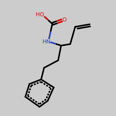 C=CCC(CCc1ccccc1)NC(=O)O